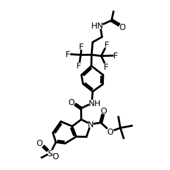 CC(=O)NCCC(c1ccc(NC(=O)C2c3ccc(S(C)(=O)=O)cc3CN2C(=O)OC(C)(C)C)cc1)(C(F)(F)F)C(F)(F)F